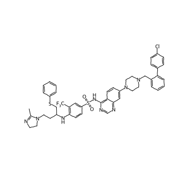 CC1=NCCN1CCC(CSc1ccccc1)Nc1ccc(S(=O)(=O)Nc2ncnc3cc(N4CCN(Cc5ccccc5-c5ccc(Cl)cc5)CC4)ccc23)cc1C(F)(F)F